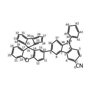 N#Cc1ccc2c(c1)c1cc(-c3ccc4c(c3)C3(c5ccccc5O4)c4ccccc4-c4ccccc43)ccc1n2-c1ccccc1